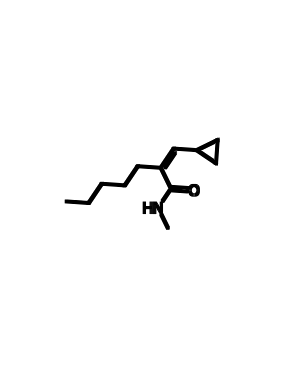 CCCCC/C(=C/C1CC1)C(=O)NC